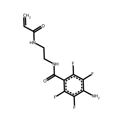 C=CC(=O)NCCNC(=O)c1c(F)c(F)c(N)c(F)c1F